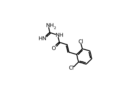 N=C(N)NC(=O)/C=C/c1c(Cl)cccc1Cl